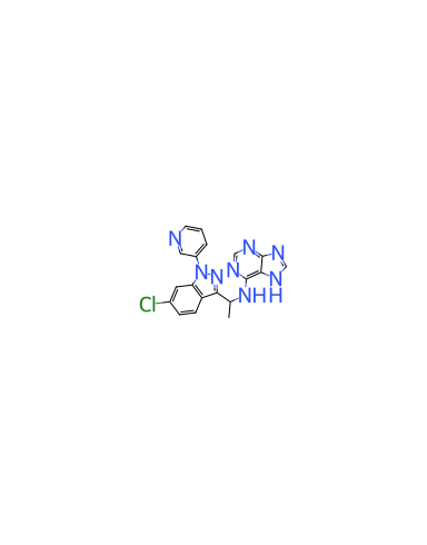 CC(Nc1ncnc2nc[nH]c12)c1nn(-c2cccnc2)c2cc(Cl)ccc12